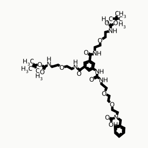 CC(C)(C)OC(=O)NCCOCCNC(=O)c1cc(NC(=O)NCCOCCOCCN(Cc2ccccc2)C(=O)O)cc(C(=O)NCCOCCNC(=O)OC(C)(C)C)c1